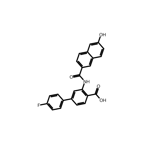 O=C(Nc1cc(-c2ccc(F)cc2)ccc1C(=O)O)c1ccc2cc(O)ccc2c1